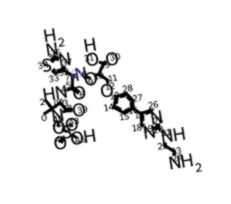 CC1(C)[C@H](NC(=O)/C(=N\OC(COc2ccc(-c3cnc(NCCN)nc3)cc2)C(=O)O)c2csc(N)n2)C(=O)N1OS(=O)(=O)O